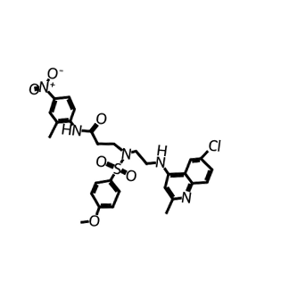 COc1ccc(S(=O)(=O)N(CCNc2cc(C)nc3ccc(Cl)cc23)CCC(=O)Nc2ccc([N+](=O)[O-])cc2C)cc1